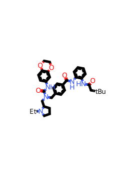 CCN1CCCC1CN(Cc1ccc(C(=O)Nc2ccccc2NC(=O)CC(C)(C)C)cc1)C(=O)Nc1ccc2c(c1)OCCO2